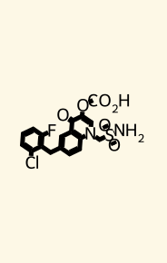 NS(=O)(=O)Cn1cc(OC(=O)O)c(=O)c2cc(Cc3c(F)cccc3Cl)ccc21